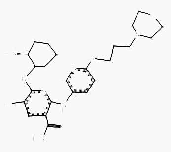 NC(=O)c1cc(F)c(NC2CCCC[C@@H]2N)nc1Nc1ccc(NCCCN2CCOCC2)nc1